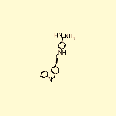 CN(Cc1ccc(C#CCNc2ccc(C(=N)N)cc2)cc1)c1ccccc1